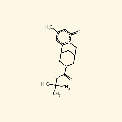 Cc1cc2n(c(=O)c1)CC1CC2CN(C(=O)OC(C)(C)C)C1